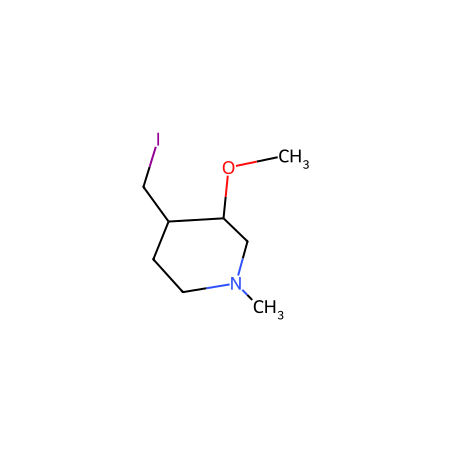 COC1CN(C)CCC1CI